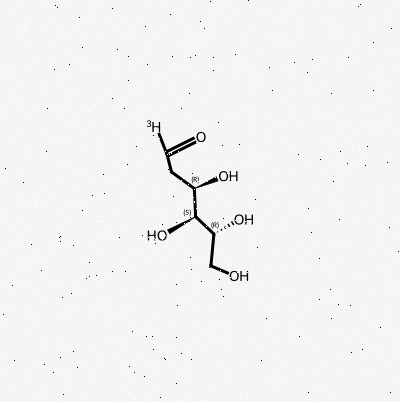 [3H]C(=O)C[C@@H](O)[C@H](O)[C@H](O)CO